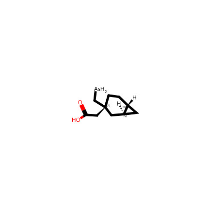 O=C(O)C[C@@]1(C[AsH2])CC[C@@H]2C[C@H]2C1